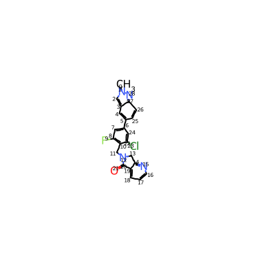 Cn1cc2cc(-c3cc(F)c(CN4Cc5ncccc5C4=O)c(Cl)c3)ccc2n1